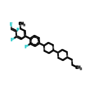 CC\C=C(/C=C(F)\C(F)=C\F)c1ccc(C2CCC(C3CCC(CCC)CC3)CC2)cc1F